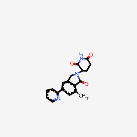 Cc1cc(-c2ccccn2)cc2c1C(=O)N(C1CCC(=O)NC1=O)C2